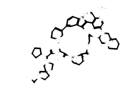 CCn1c(-c2cc(N3CCN4CCCC[C@@H]4C3)cnc2[C@H](C)OC)c2c3cc(ccc31)C1=CCCN(C1)C[C@H](NC(=O)[C@H](C1CCCC1)N1CC[C@]3(CCN(C(=O)OC(C)(C)C)C3)C1)C(=O)N1CCC[C@H](N1)C(=O)OCC(C)(C)C2